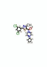 Cc1nc(-c2cc(Cl)cc(Cl)c2)sc1C(=O)N1CCN(C2CCCC2)CC1